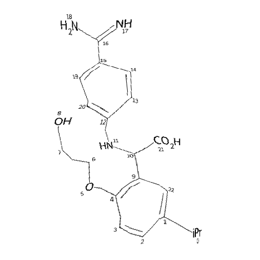 CC(C)c1ccc(OCCO)c(C(Nc2ccc(C(=N)N)cc2)C(=O)O)c1